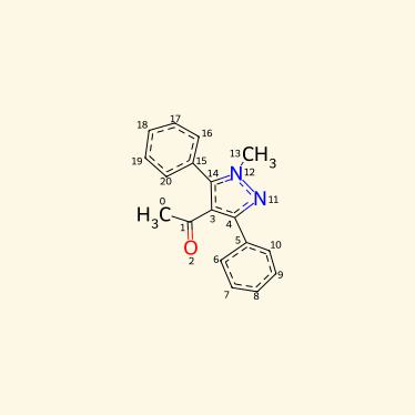 CC(=O)c1c(-c2ccccc2)nn(C)c1-c1ccccc1